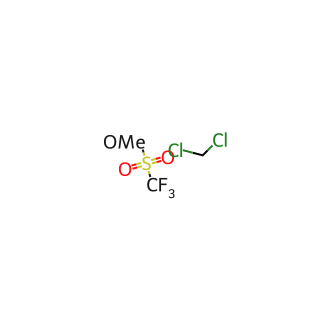 COS(=O)(=O)C(F)(F)F.ClCCl